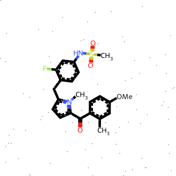 COc1ccc(C(=O)c2ccc(Cc3ccc(NS(C)(=O)=O)cc3F)n2C)c(C)c1